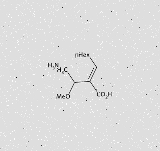 CCCCCCC=C(C(=O)O)C(C)OC.N